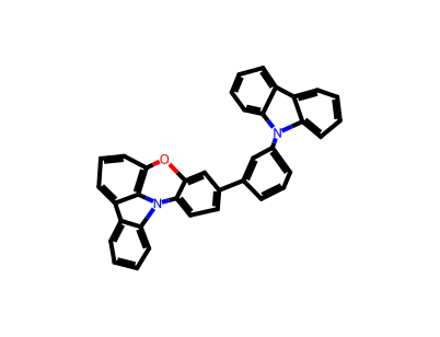 c1cc(-c2ccc3c(c2)Oc2cccc4c5ccccc5n-3c24)cc(-n2c3ccccc3c3ccccc32)c1